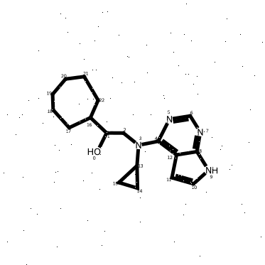 OC(CN(c1ncnc2[nH]ccc12)C1CC1)C1CCCCCC1